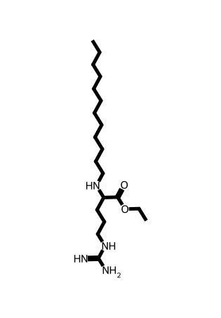 CCCCCCCCCCCCNC(CCCNC(=N)N)C(=O)OCC